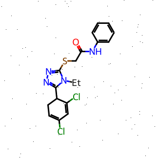 CCn1c(SCC(=O)Nc2ccccc2)nnc1C1CC=C(Cl)C=C1Cl